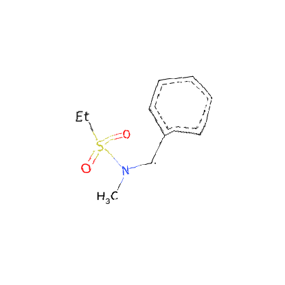 CCS(=O)(=O)N(C)[CH]c1ccccc1